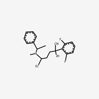 CCC(CCC(C#N)(c1c(F)cccc1F)C(C)C)N(C)C(C)c1ccccc1